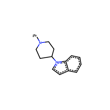 CC(C)N1CCC(n2ccc3ccccc32)CC1